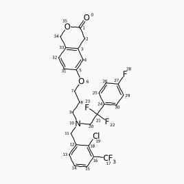 O=C1Cc2cc(OCCCN(Cc3cccc(C(F)(F)F)c3Cl)CC(F)(F)c3ccc(F)cc3)ccc2CO1